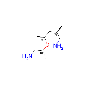 C[C@@H](CN)C[C@H](C)O[C@H](C)CN